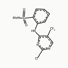 CNS(=O)(=O)c1ccccc1Nc1nc(Cl)ncc1C(F)(F)F